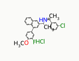 COc1ccc(-c2cc(C(C)N[C@H](C)c3cccc(Cl)c3)cc3ccccc23)cc1F.Cl